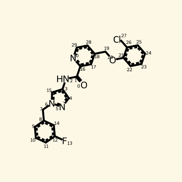 O=C(Nc1cnn(Cc2cccc(F)c2)c1)c1cc(COc2ccccc2Cl)ccn1